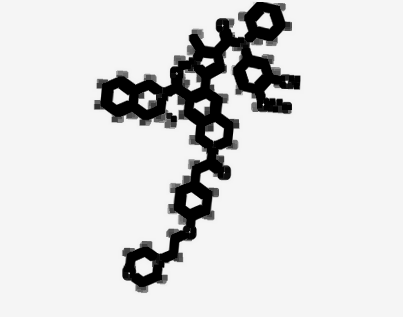 COc1ccc(N(C(=O)c2cc(-c3cc4c(cc3C(=O)N3Cc5ccccc5C[C@H]3C)CN(C(=O)Cc3ccc(OCCN5CCOCC5)cc3)CC4)n(C)c2C)c2ccccc2)cc1C#N